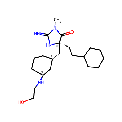 CN1C(=N)N[C@](CCC2CCCCC2)(C[C@H]2CCC[C@H](NCCO)C2)C1=O